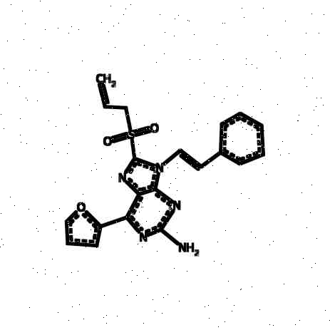 C=CCS(=O)(=O)c1nc2c(-c3ccco3)nc(N)nc2n1C=Cc1ccccc1